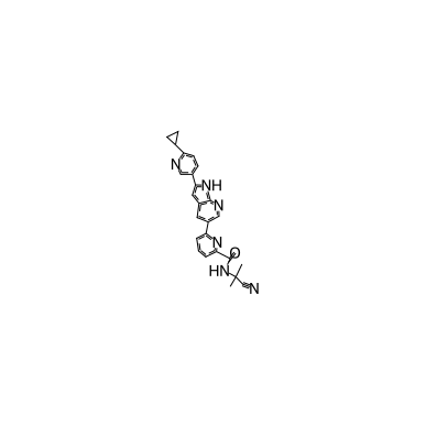 CC(C)(C#N)NC(=O)c1cccc(-c2cnc3[nH]c(-c4ccc(C5CC5)nc4)cc3c2)n1